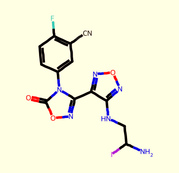 N#Cc1cc(-n2c(-c3nonc3NCC(N)I)noc2=O)ccc1F